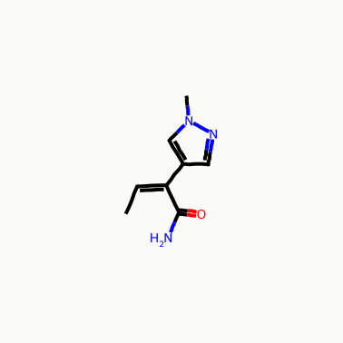 CC=C(C(N)=O)c1cnn(C)c1